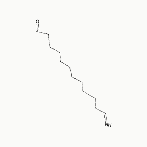 N=CCCCCCCCCCC[C]=O